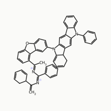 C=C(/N=C(\N=C(/C)c1cccc2oc3ccc(N4C5=CC=CCC5c5cc6c(cc54)c4ccccc4n6-c4ccccc4)cc3c12)c1ccccc1)C1C=CC=CC1